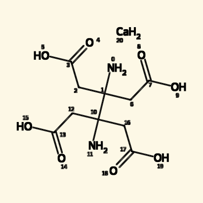 NC(CC(=O)O)(CC(=O)O)C(N)(CC(=O)O)CC(=O)O.[CaH2]